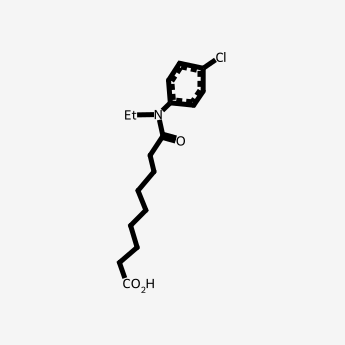 CCN(C(=O)CCCCCCCC(=O)O)c1ccc(Cl)cc1